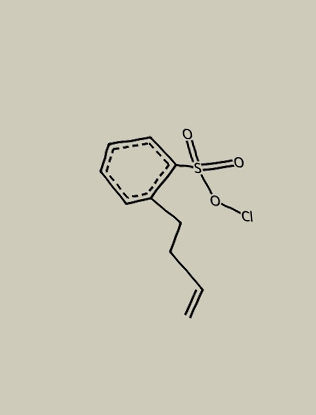 C=CCCc1ccccc1S(=O)(=O)OCl